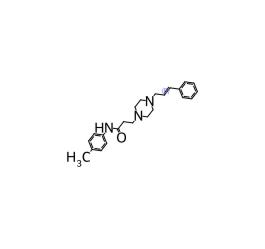 Cc1ccc(NC(=O)CCN2CCN(C/C=C/c3ccccc3)CC2)cc1